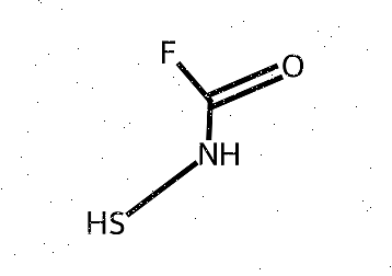 O=C(F)NS